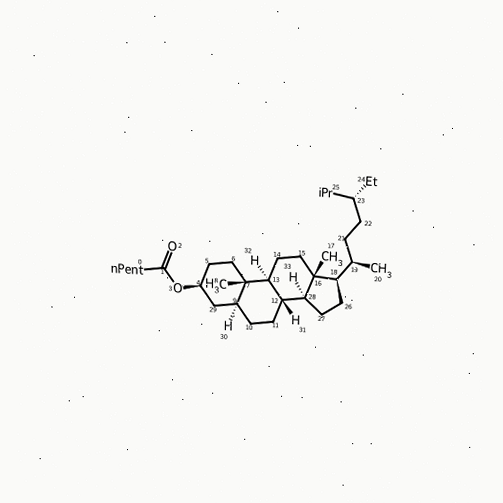 CCCCCC(=O)O[C@H]1CC[C@@]2(C)[C@@H](CC[C@@H]3[C@@H]2CC[C@]2(C)[C@@H]([C@H](C)CC[C@@H](CC)C(C)C)CC[C@@H]32)C1